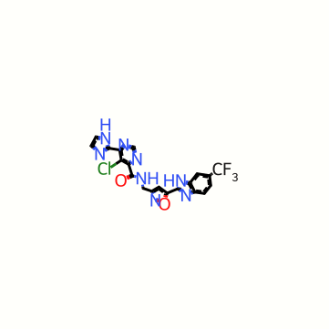 O=C(NCc1cc(-c2nc3ccc(C(F)(F)F)cc3[nH]2)on1)c1ncnc(-c2ncc[nH]2)c1Cl